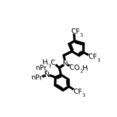 CCCN(CCC)c1ccc(C(F)(F)F)cc1C(C)N(Cc1cc(C(F)(F)F)cc(C(F)(F)F)c1)C(=O)O